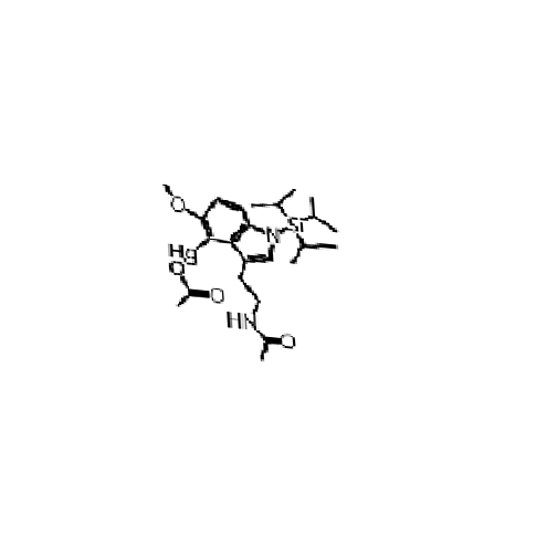 COc1ccc2c(c(CCNC(C)=O)cn2[Si](C(C)C)(C(C)C)C(C)C)[c]1[Hg][O]C(C)=O